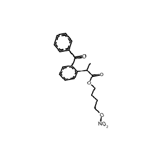 CC(C(=O)OCCCCO[N+](=O)[O-])c1ccccc1C(=O)c1ccccc1